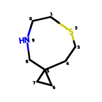 C1CSCCC2(CC2)CN1